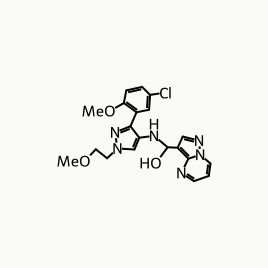 COCCn1cc(NC(O)c2cnn3cccnc23)c(-c2cc(Cl)ccc2OC)n1